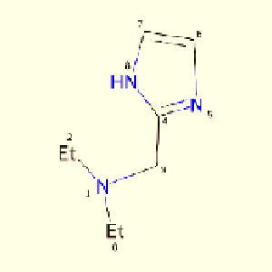 CCN(CC)Cc1ncc[nH]1